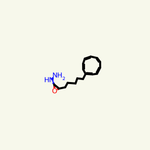 NNC1OC1CCCCCc1ccccccccc1